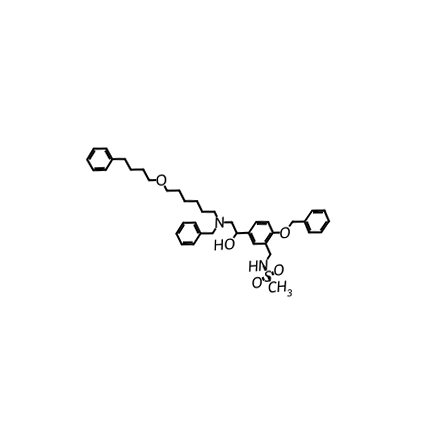 CS(=O)(=O)NCc1cc(C(O)CN(CCCCCCOCCCCc2ccccc2)Cc2ccccc2)ccc1OCc1ccccc1